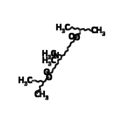 CCCCCC(CCCCC)CCOC(=O)CCCCCCCC(CCCCCCCC(=O)OCCC(CCCCC)CCCCC)CN(C)CC